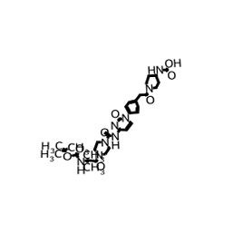 CC(C)(C)OC(=O)NC(C)(C)C(=O)N1CCN(C(=O)Nc2ccn(-c3ccc(CC(=O)N4CCC(NC(=O)O)CC4)cc3)c(=O)n2)CC1